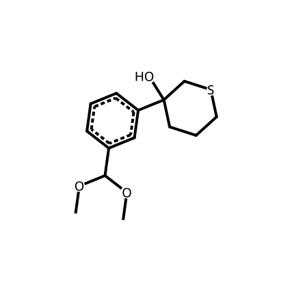 COC(OC)c1cccc(C2(O)CCCSC2)c1